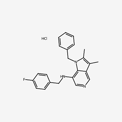 Cc1c(C)n(Cc2ccccc2)c2c(NCc3ccc(F)cc3)cncc12.Cl